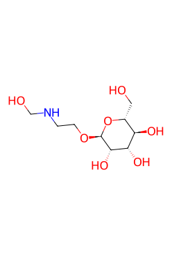 OCNCCO[C@H]1O[C@H](CO)[C@@H](O)[C@H](O)[C@@H]1O